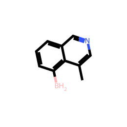 Bc1cccc2cncc(C)c12